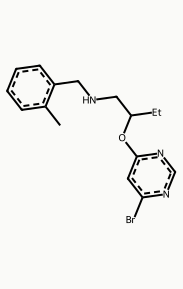 CCC(CNCc1ccccc1C)Oc1cc(Br)ncn1